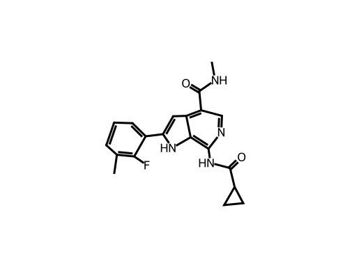 CNC(=O)c1cnc(NC(=O)C2CC2)c2[nH]c(-c3cccc(C)c3F)cc12